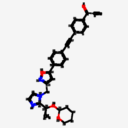 COC(=O)c1ccc(C#Cc2ccc(-c3cc(Cn4ccnc4[C@H](C)OC4CCCCO4)no3)cc2)cc1